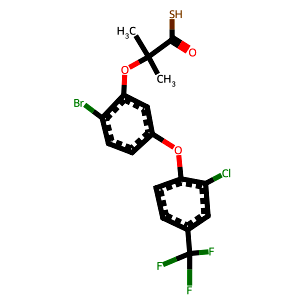 CC(C)(Oc1cc(Oc2ccc(C(F)(F)F)cc2Cl)ccc1Br)C(=O)S